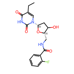 CCc1cn([C@@H]2CC(O)[C@H](CNC(=O)c3ccccc3F)O2)c(=O)[nH]c1=O